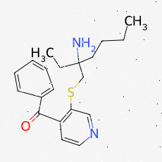 CCCCC(N)(CC)CSc1cnccc1C(=O)c1ccccc1